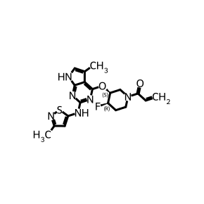 C=CC(=O)N1CC[C@@H](F)[C@@H](Oc2nc(Nc3cc(C)ns3)nc3[nH]cc(C)c23)C1